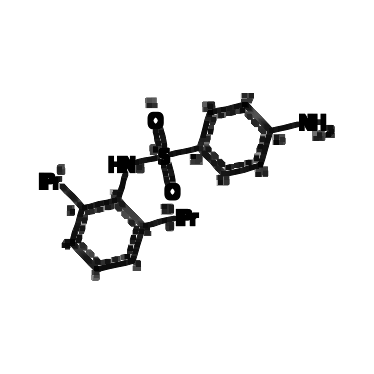 CC(C)c1cccc(C(C)C)c1NS(=O)(=O)c1ccc(N)cc1